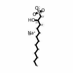 CCCCCCCCCCCC(O)CS(=O)(=O)[O-].[Na+]